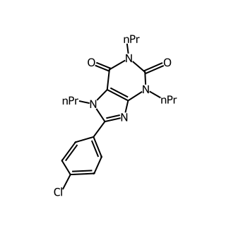 CCCn1c(=O)c2c(nc(-c3ccc(Cl)cc3)n2CCC)n(CCC)c1=O